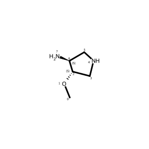 CO[C@H]1CNC[C@@H]1N